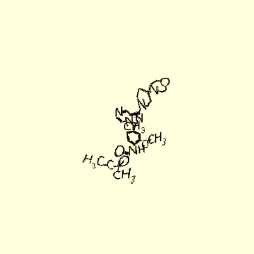 CCC[C@H](C)OC(=O)Nc1ccc(C2=NC(N3CCC(N4CCOCC4)CC3)=C3C=NC=C[N+]23C)cc1OC